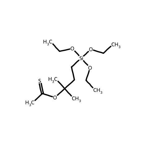 CCO[Si](CCC(C)(C)OC(C)=S)(OCC)OCC